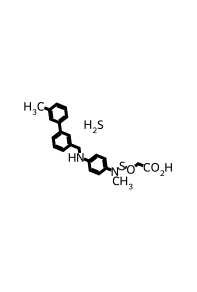 Cc1cccc(-c2cccc(CNc3ccc(N(C)SOCC(=O)O)cc3)c2)c1.S